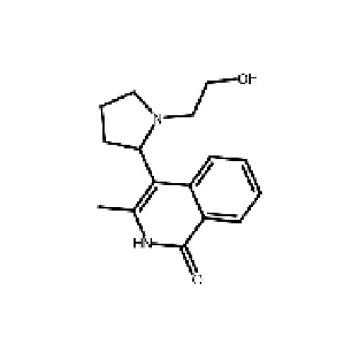 Cc1[nH]c(=O)c2ccccc2c1C1CCCN1CCO